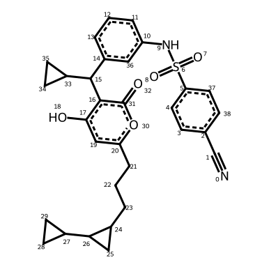 N#Cc1ccc(S(=O)(=O)Nc2cccc(C(c3c(O)cc(CCCC4CC4C4CC4)oc3=O)C3CC3)c2)cc1